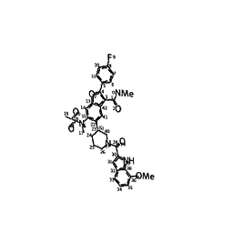 CNC(=O)c1c(-c2ccc(F)cc2)oc2cc(N(C)S(C)(=O)=O)c([C@@H]3CCCN(C(=O)c4cc5cccc(OC)c5[nH]4)C3)cc12